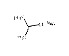 CCC(C)C.[NaH]